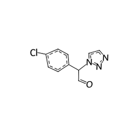 O=CC(c1ccc(Cl)cc1)n1ccnn1